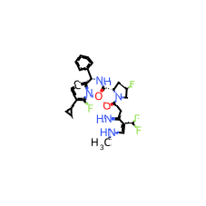 CN/C=C(\C(=N)CC(=O)N1C[C@H](F)C[C@H]1C(=O)N[C@@H](c1ccccc1)c1ccc(C2CC2)c(F)n1)C(F)F